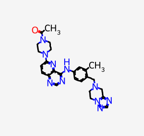 CC(=O)N1CCN(c2ccc3ncnc(Nc4ccc(CN5CCn6ncnc6C5)c(C)c4)c3n2)CC1